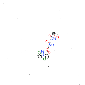 CC(C)(C)[C@@H](O)C(=O)NCCC(=O)NCCOC(=O)Cc1ccccc1Nc1c(Cl)cccc1Cl